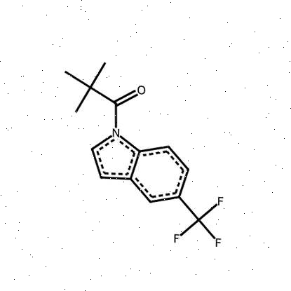 CC(C)(C)C(=O)n1ccc2cc(C(F)(F)F)ccc21